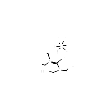 CCN(CC)C(F)=[N+](CC)CC.F[P-](F)(F)(F)(F)F